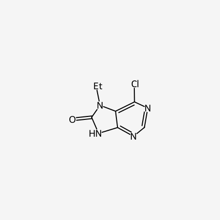 CCn1c(=O)[nH]c2ncnc(Cl)c21